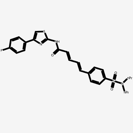 CCCN(CCC)S(=O)(=O)c1ccc(/C=C/C=C/C(=O)Nc2nc(-c3ccc(F)cc3)cs2)cc1